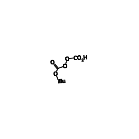 CCC(C)OC(=O)OOC(=O)O